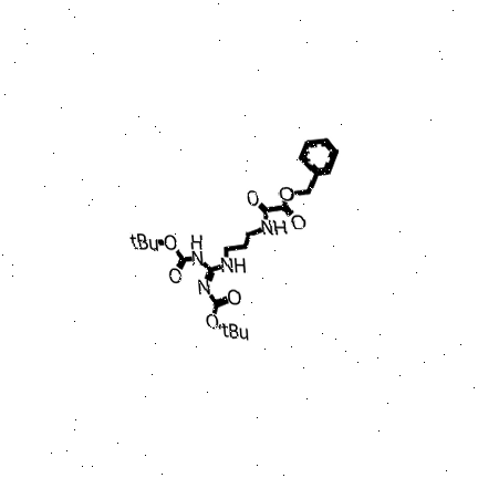 CC(C)(C)OC(=O)/N=C(\NCCCNC(=O)C(=O)OCc1ccccc1)NC(=O)OC(C)(C)C